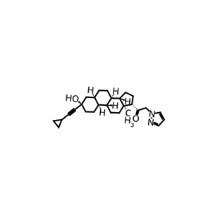 C[C@]12CC[C@H]3[C@@H](CC[C@@H]4C[C@@](O)(C#CC5CC5)CC[C@@H]43)[C@@H]1CC[C@@H]2C(=O)Cn1cccn1